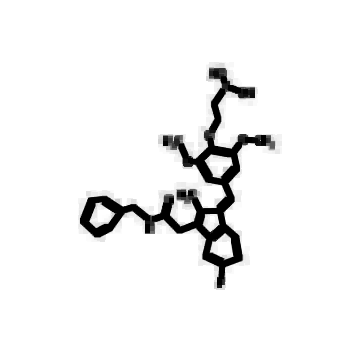 COc1cc(C=C2C(C)=C(CC(=O)NCc3ccccc3)c3cc(F)ccc32)cc(OC)c1OCCB(O)O